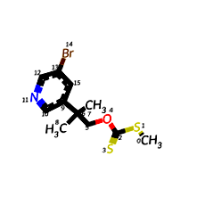 CSC(=S)OCC(C)(C)c1cncc(Br)c1